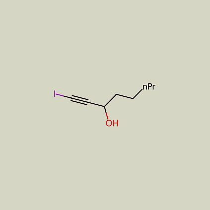 CCCCCC(O)C#CI